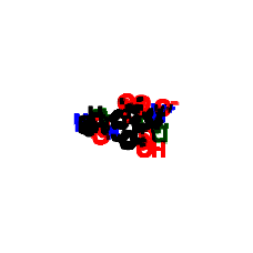 COc1ccc([C@H](Cc2c(Cl)c[n+]([O-])cc2Cl)c2cc(CN(C(=O)O[C@H]3CN4CCC3CC4)c3ccccc3Cl)ccc2C(=O)O)cc1OC